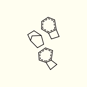 C1CC2CCC1C2.c1ccc2c(c1)CC2.c1ccc2c(c1)CC2